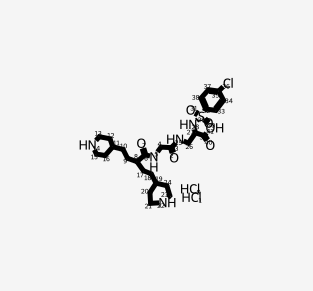 Cl.Cl.O=C(CNC(=O)C(CCC1CCNCC1)CCC1CCNCC1)NCC(NS(=O)(=O)c1ccc(Cl)cc1)C(=O)O